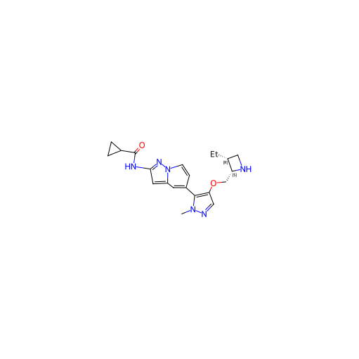 CC[C@@H]1CN[C@@H]1COc1cnn(C)c1-c1ccn2nc(NC(=O)C3CC3)cc2c1